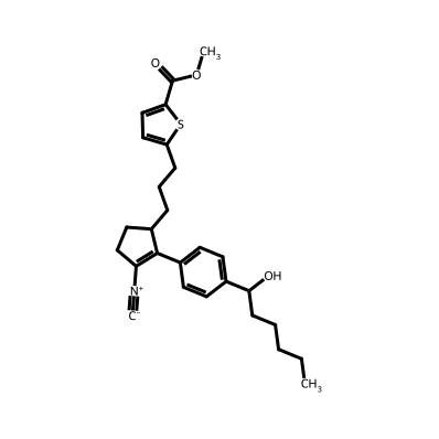 [C-]#[N+]C1=C(c2ccc(C(O)CCCCC)cc2)C(CCCc2ccc(C(=O)OC)s2)CC1